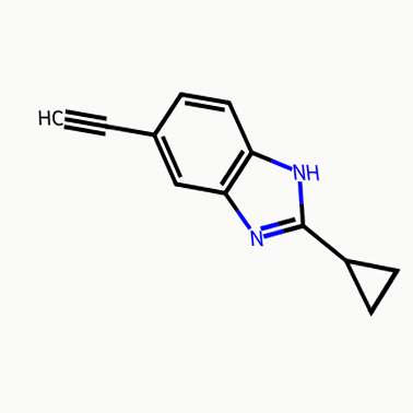 C#Cc1ccc2[nH]c(C3CC3)nc2c1